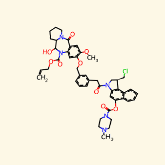 C=CCOC(=O)N1c2cc(OCc3cccc(CC(=O)N4C[C@@H](CCl)c5c4cc(OC(=O)N4CCN(C)CC4)c4ccccc54)c3)c(OC)cc2C(=O)N2CCCCC2C1O